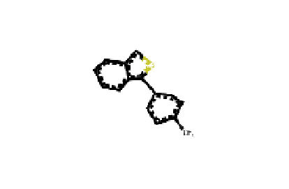 FC(F)(F)c1ccc(-c2scc3cc[c]cc23)cc1